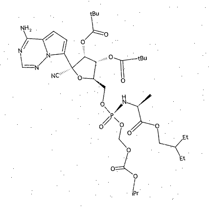 CCC(CC)COC(=O)[C@H](C)N[P@](=O)(OCOC(=O)OC(C)C)OC[C@H]1O[C@@](C#N)(c2ccc3c(N)ncnn23)[C@H](OC(=O)C(C)(C)C)[C@@H]1OC(=O)C(C)(C)C